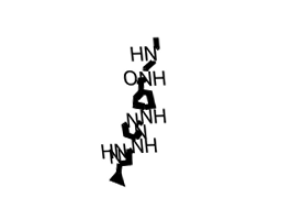 CCNCCNC(=O)c1ccc(Nc2nccc(Nc3cc(C4CC4)n[nH]3)n2)cc1